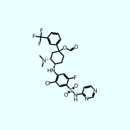 CN(C)[C@@H]1C[C@](OC=O)(c2cccc(C(F)(F)F)c2)CC[C@H]1Nc1cc(F)c(S(=O)(=O)Nc2ccncn2)cc1Cl